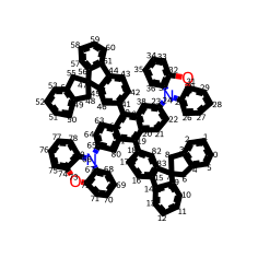 c1ccc2c(c1)CC1(C2)c2ccccc2-c2ccc(-c3c4ccc(N5c6ccccc6Oc6ccccc65)cc4c(-c4ccc5c(c4)C4(Cc6ccccc6C4)c4ccccc4-5)c4ccc(N5c6ccccc6Oc6ccccc65)cc34)cc21